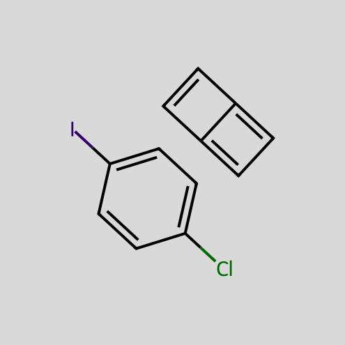 Clc1ccc(I)cc1.c1cc2ccc1-2